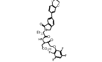 CC[C@@H](C(=O)NC(CC(=O)O)C(=O)COc1c(F)c(F)cc(F)c1F)N1Cc2ccc(-c3ccc4c(c3)OCCO4)cc2C1=O